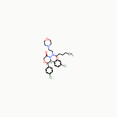 CCCCC(=O)N(CCN1CCOCC1)N1C(=O)CO[C@H](c2ccc(Cl)cc2)[C@@H]1c1ccc(Cl)cc1